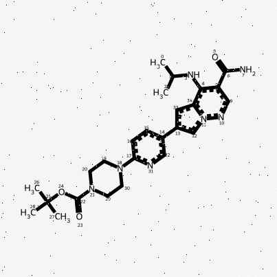 CC(C)Nc1c(C(N)=O)cnn2cc(-c3ccc(N4CCN(C(=O)OC(C)(C)C)CC4)nc3)cc12